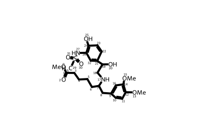 COC(=O)CCCCC(Cc1ccc(OC)c(OC)c1)NCC(O)c1ccc(O)c(NS(C)(=O)=O)c1